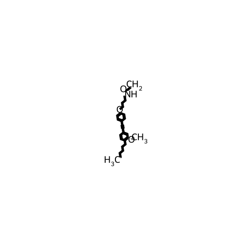 C=CC(=O)NCCCCOc1ccc(C#Cc2ccc(CCCCCC)c(OC)c2)cc1